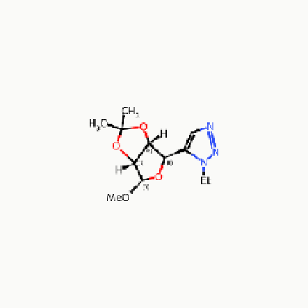 CCn1nncc1[C@H]1O[C@@H](OC)[C@@H]2OC(C)(C)O[C@@H]21